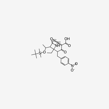 CCC1(C(Cc2ccc([N+](=O)[O-])cc2)C(=O)C(=[N+]=[N-])C(=O)O)NC(=O)C1C(C)O[Si](C)(C)C(C)(C)C